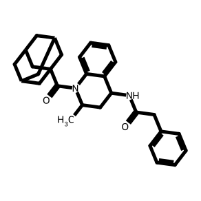 CC1CC(NC(=O)Cc2ccccc2)c2ccccc2N1C(=O)C12CC3CC(CC(C3)C1)C2